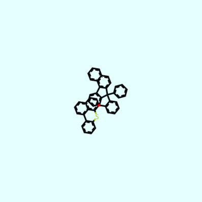 c1ccc(C2(c3ccccc3-c3ccc4cccc5c4c3Sc3ccccc3-5)c3ccccc3-c3c2ccc2ccccc32)cc1